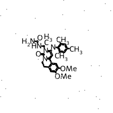 COc1cc2c(cc1OC)-c1cc(=Nc3c(C)cc(C)cc3C)n(C(C)NC(N)=O)c(=O)n1CC2